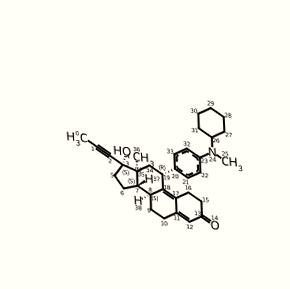 CC#C[C@]1(O)CC[C@H]2[C@@H]3CCC4=CC(=O)CCC4=C3[C@@H](c3ccc(N(C)C4CCCCC4)cc3)C[C@@]21C